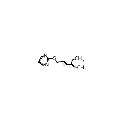 C/C=C(/C=C/CSc1ncccn1)CC